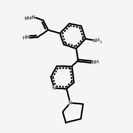 CN/C=C(\C=N)c1ccc(N)c(C(=N)c2ccnc(N3CCCC3)c2)c1